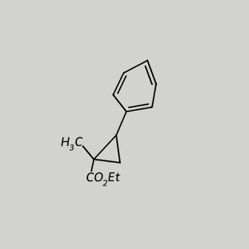 CCOC(=O)C1(C)CC1c1ccccc1